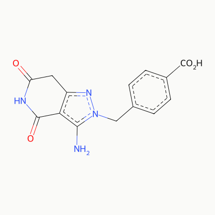 Nc1c2c(nn1Cc1ccc(C(=O)O)cc1)CC(=O)NC2=O